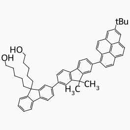 CC(C)(C)c1cc2ccc3ccc(-c4ccc5c(c4)C(C)(C)c4cc(-c6ccc7c(c6)C(CCCCCO)(CCCCCO)c6ccccc6-7)ccc4-5)c4ccc(c1)c2c34